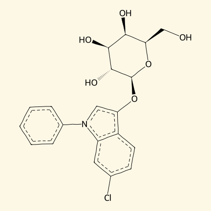 OC[C@H]1O[C@@H](Oc2cn(-c3ccccc3)c3cc(Cl)ccc23)[C@H](O)[C@@H](O)[C@H]1O